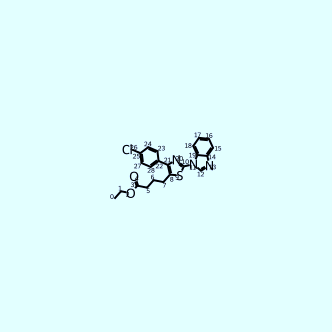 CCOC(=O)CCCc1sc(-n2cnc3ccccc32)nc1-c1ccc(Cl)cc1